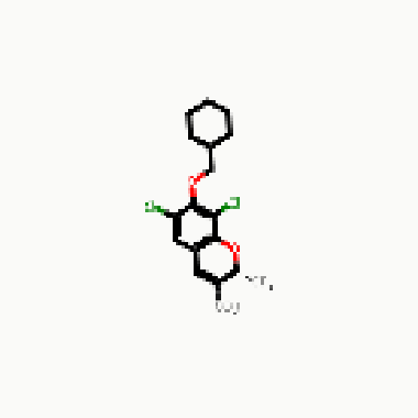 O=C(O)C1=Cc2cc(Cl)c(OCC3CCCCC3)c(Cl)c2O[C@@H]1C(F)(F)F